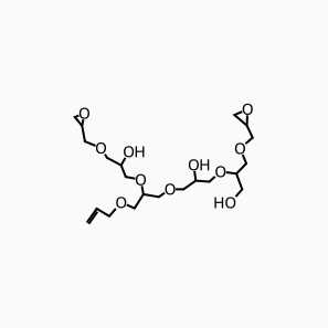 C=CCOCC(COCC(O)COC(CO)COCC1CO1)OCC(O)COCC1CO1